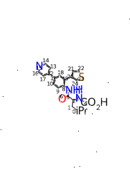 CC(C)CC(NC(=O)O)C(=O)Nc1ccc(-c2ccncc2)cc1-c1ccsc1